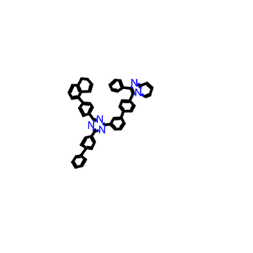 C1=Cc2c(cccc2-c2ccc(-c3nc(-c4ccc(-c5ccccc5)cc4)nc(-c4cccc(-c5ccc(-c6c(-c7ccccc7)nc7ccccn67)cc5)c4)n3)cc2)CC1